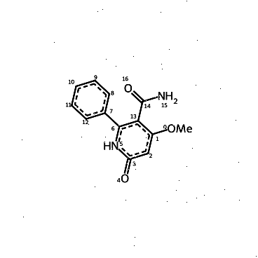 COc1cc(=O)[nH]c(-c2ccccc2)c1C(N)=O